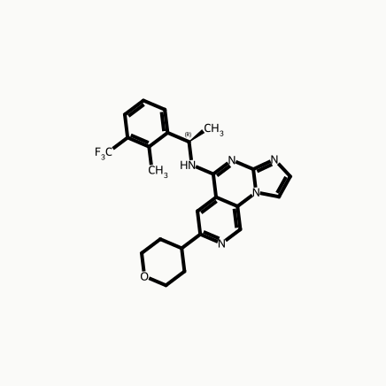 Cc1c([C@@H](C)Nc2nc3nccn3c3cnc(C4CCOCC4)cc23)cccc1C(F)(F)F